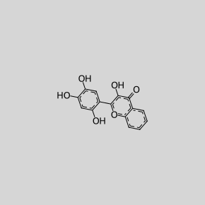 O=c1c(O)c(-c2cc(O)c(O)cc2O)oc2ccccc12